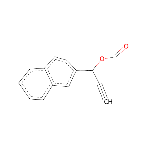 C#CC(OC=O)c1ccc2ccccc2c1